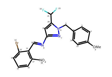 COc1ccc(Cn2nc(/N=C/c3c(Br)cccc3[N+](=O)[O-])cc2C(F)F)cc1